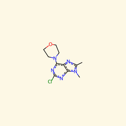 Cc1nc2c(N3CCOCC3)nc(Cl)nc2n1C